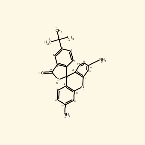 CC(C)(C)c1ccc2c(c1)C(=O)OC21c2ccc(N)cc2Oc2cc(N)ccc21